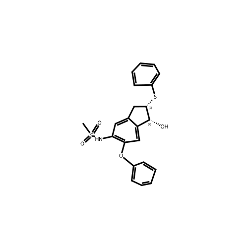 CS(=O)(=O)Nc1cc2c(cc1Oc1ccccc1)[C@@H](O)[C@@H](Sc1ccccc1)C2